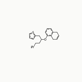 CC(C)CCC(Cc1cccs1)Oc1cccc2c1CC=CC2